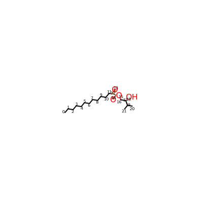 CCCCCCCCCCCCS(=O)(=O)OCC(O)C(C)C